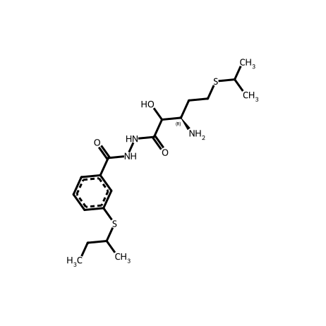 CCC(C)Sc1cccc(C(=O)NNC(=O)C(O)[C@H](N)CCSC(C)C)c1